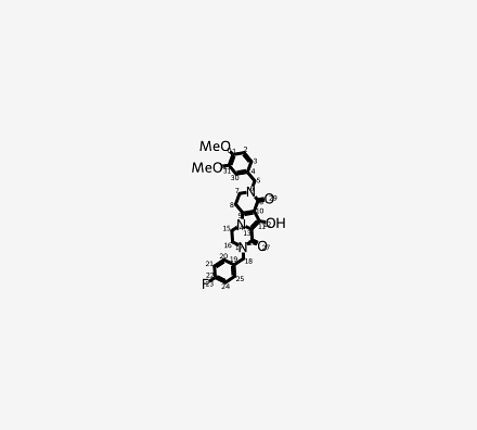 COc1ccc(CN2CCc3c(c(O)c4n3CCN(Cc3ccc(F)cc3)C4=O)C2=O)cc1OC